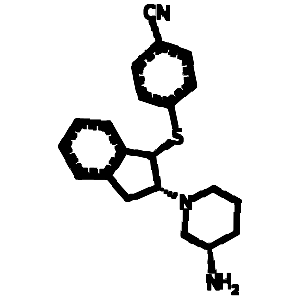 N#Cc1ccc(S[C@@H]2c3ccccc3C[C@H]2N2CCC[C@@H](N)C2)cc1